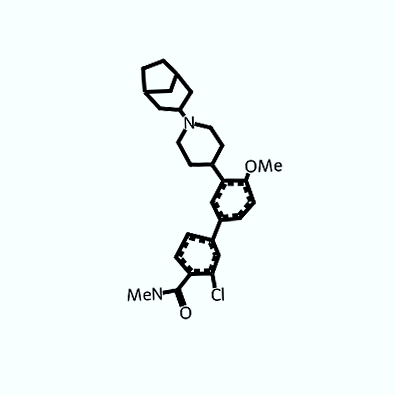 CNC(=O)c1ccc(-c2ccc(OC)c(C3CCN(C4CC5CCC(C5)C4)CC3)c2)cc1Cl